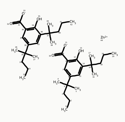 CCCC(C)(C)c1cc(C(=O)[O-])c(O)c(C(C)(C)CCC)c1.CCCC(C)(C)c1cc(C(=O)[O-])c(O)c(C(C)(C)CCC)c1.[Zn+2]